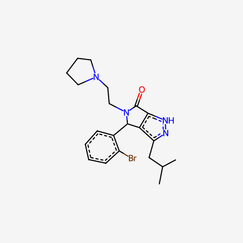 CC(C)Cc1n[nH]c2c1C(c1ccccc1Br)N(CCN1CCCC1)C2=O